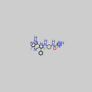 N#Cc1c(-c2c[nH]c3ncc(F)cc23)nc(NC2CCCC(NC(=O)c3c[nH]nn3)C2)c(F)c1-c1ccccc1